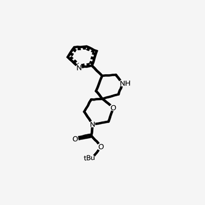 CC(C)(C)OC(=O)N1CCC2(CNCC(c3ccccn3)C2)OC1